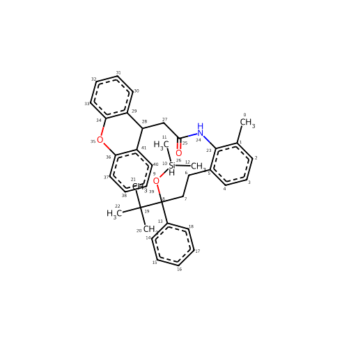 Cc1cccc(CCC(O[SiH](C)C)(c2ccccc2)C(C)(C)C)c1NC(=O)CC1c2ccccc2Oc2ccccc21